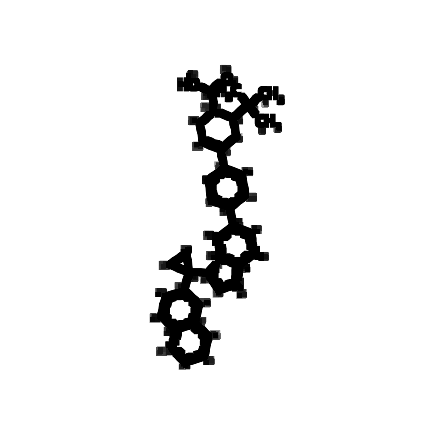 CC(C)(C)C1CC(c2ccc(-c3cnc4ncc(C5(c6ccc7ncccc7c6)CC5)n4n3)cc2)=CCN1C(=O)O